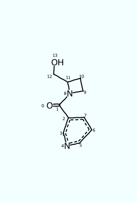 O=C(c1[c]nccc1)N1CCC1CO